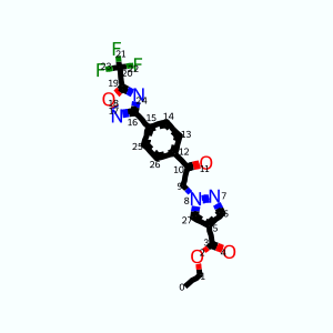 CCOC(=O)c1cnn(CC(=O)c2ccc(-c3noc(C(F)(F)F)n3)cc2)c1